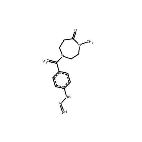 C=C(c1ccc(NN=N)cc1)N1CCC(=O)N(C)CC1